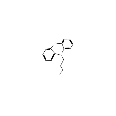 ClCCCN1c2ccccc2Oc2ccccc21